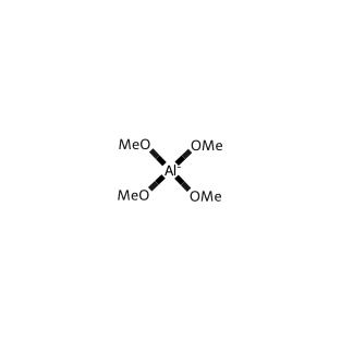 C[O][Al-]([O]C)([O]C)[O]C